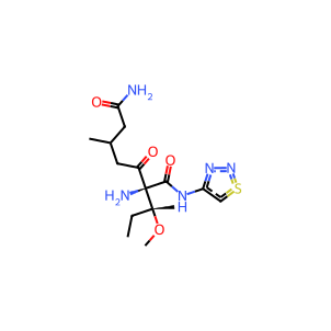 CC[C@@](C)(OC)[C@](N)(C(=O)CC(C)CC(N)=O)C(=O)Nc1csnn1